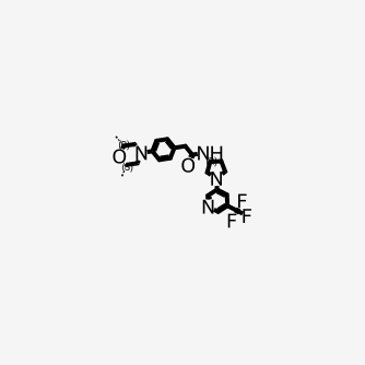 C[C@@H]1CN(c2ccc(CC(=O)N[C@@H]3CCN(c4cncc(C(F)(F)F)c4)C3)cc2)C[C@H](C)O1